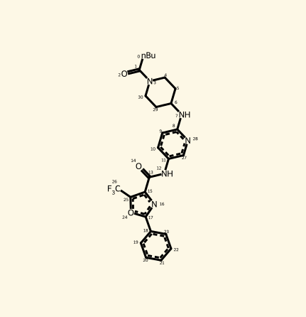 CCCCC(=O)N1CCC(Nc2ccc(NC(=O)c3nc(-c4ccccc4)oc3C(F)(F)F)cn2)CC1